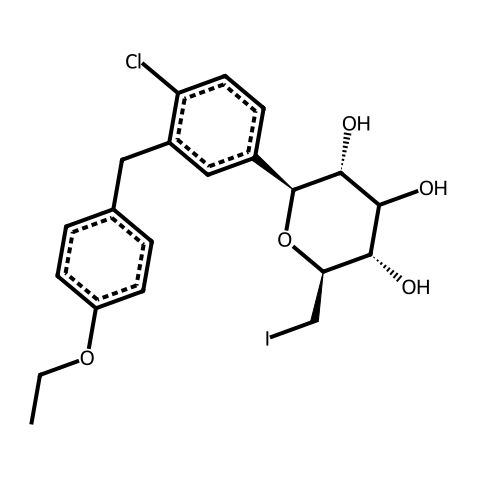 CCOc1ccc(Cc2cc([C@@H]3O[C@H](CI)[C@@H](O)C(O)[C@H]3O)ccc2Cl)cc1